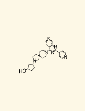 O[C@@H]1CC[C@H](N2CCC3(CCN(c4nc(-c5ccncc5)nc5cnccc45)CC3)C2)C1